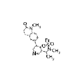 CCS(=O)(=O)N(C)C(C)c1cncc(-c2ccc3c(c2)CCC(=O)N3C)c1